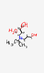 CC(C)N(CCCO)CCCO.O